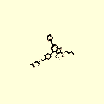 CCCC[S+]([O-])c1sc2nc(-c3nccs3)cc(-c3ccc(COC(=O)CN(C)C)cc3)c2c1N